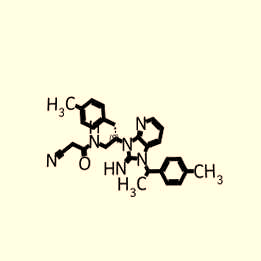 Cc1ccc(C[C@@H](CNC(=O)CC#N)n2c(=N)n(C(C)c3ccc(C)cc3)c3cccnc32)cc1